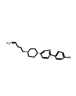 C=CCCC[C@H]1CC[C@H](c2ccc(-c3ccc(Br)cc3)nc2)CC1